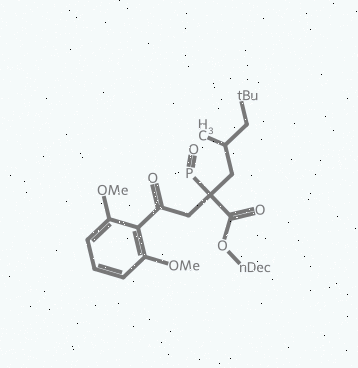 CCCCCCCCCCOC(=O)C(CC(=O)c1c(OC)cccc1OC)(CC(C)CC(C)(C)C)P=O